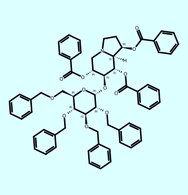 O=C(O[C@@H]1[C@@H](O[C@H]2O[C@H](COCc3ccccc3)[C@@H](OCc3ccccc3)[C@H](OCc3ccccc3)[C@H]2OCc2ccccc2)[C@H](OC(=O)c2ccccc2)CN2CC[C@@H](OC(=O)c3ccccc3)[C@@H]12)c1ccccc1